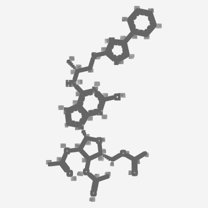 CC(=O)OC[C@H]1O[C@@H](n2cnc3c(N[C@H](C)CSc4nc(-c5ccccc5)cs4)nc(Cl)nc32)C(OC(C)=O)C1OC(C)=O